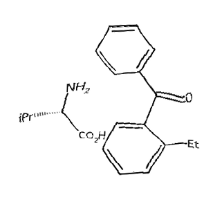 CC(C)[C@H](N)C(=O)O.CCc1ccccc1C(=O)c1ccccc1